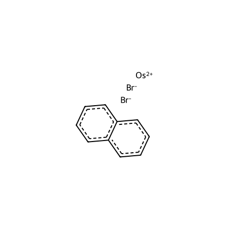 [Br-].[Br-].[Os+2].c1ccc2ccccc2c1